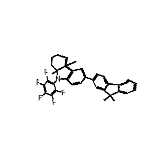 CC1(C)c2ccccc2-c2ccc(-c3ccc4c(c3)C3(C)CCCCC3(C)N4c3c(F)c(F)c(F)c(F)c3F)cc21